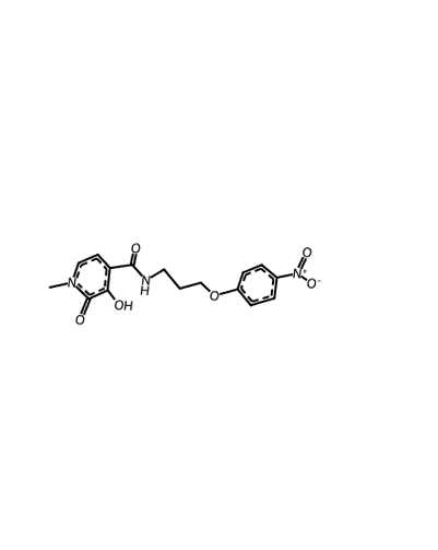 Cn1ccc(C(=O)NCCCOc2ccc([N+](=O)[O-])cc2)c(O)c1=O